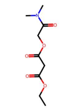 CCOC(=O)CC(=O)OCC(=O)N(C)C